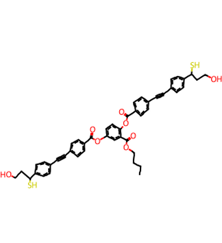 CCCCOC(=O)c1cc(OC(=O)c2ccc(C#Cc3ccc(C(S)CCO)cc3)cc2)ccc1OC(=O)c1ccc(C#Cc2ccc(C(S)CCO)cc2)cc1